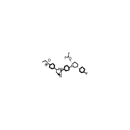 CCS(=O)(=O)c1ccc([C@H](CC#N)NC(=O)c2ccc(N3C[C@@H](c4ccc(F)cc4)CC[C@H]3COC(F)F)cc2)cc1